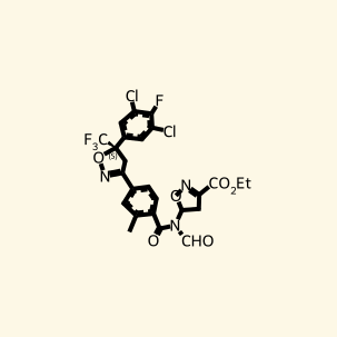 CCOC(=O)C1=NOC(N(C=O)C(=O)c2ccc(C3=NO[C@@](c4cc(Cl)c(F)c(Cl)c4)(C(F)(F)F)C3)cc2C)C1